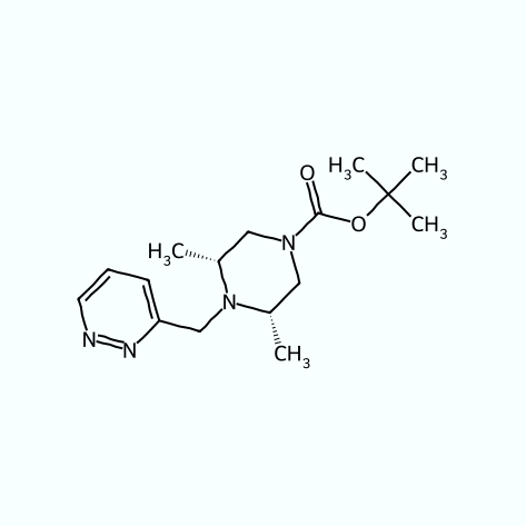 C[C@@H]1CN(C(=O)OC(C)(C)C)C[C@H](C)N1Cc1cccnn1